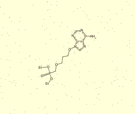 CCOP(=O)(COCCCOn1cnc2c(N)ncnc21)OCC